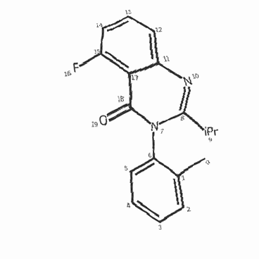 Cc1ccccc1-n1c(C(C)C)nc2cccc(F)c2c1=O